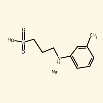 Cc1cccc(NCCCS(=O)(=O)O)c1.[Na]